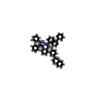 c1ccc(-c2ccc(N(c3ccc(-c4ccc5ccccc5c4)cc3)c3c(-c4ccccc4)n4nc(-c5ccccc5)c(-c5ccccc5)c4c4ccccc34)cc2)cc1